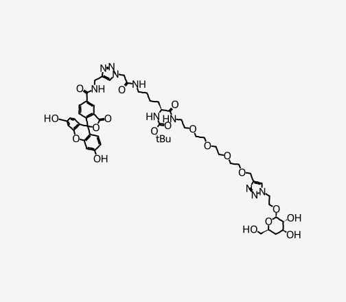 CC(C)(C)OC(=O)N[C@@H](CCCCNC(=O)Cn1cc(CNC(=O)c2ccc3c(c2)C(=O)OC32c3ccc(O)cc3Oc3cc(O)ccc32)nn1)C(=O)NCCOCCOCCOCCOCc1cn(CCO[C@@H]2O[C@H](CO)C[C@H](O)[C@H]2O)nn1